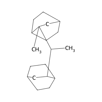 CC(C1CC2CCC1CC2)C1(C)CC2CCC1CC2